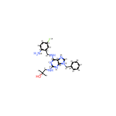 CC(C)(O)CNc1nc(NCc2cc(F)ccc2N)c2ncn(Cc3ccccc3)c2n1